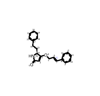 O=C1C=C(OC/C=C/c2ccccc2)[C@H](CCc2ccccc2)N1